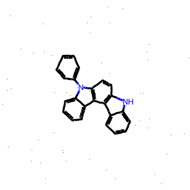 c1ccc(-n2c3ccccc3c3c4c(ccc32)[nH]c2ccccc24)cc1